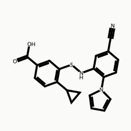 N#Cc1ccc(-n2cccc2)c(NSc2cc(C(=O)O)ccc2C2CC2)c1